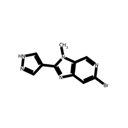 Cn1c(-c2cn[nH]c2)nc2cc(Br)ncc21